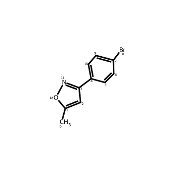 Cc1cc(-c2ccc(Br)cc2)no1